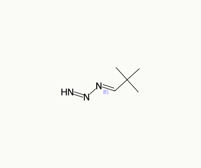 CC(C)(C)/C=N/N=N